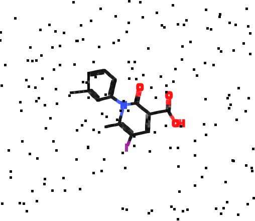 Cc1cccc(-n2c(C)c(I)cc(C(=O)O)c2=O)c1